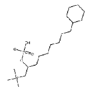 C[N+](C)(C)CC(CCCCCCCC1CCCCC1)OP(=O)([O-])O